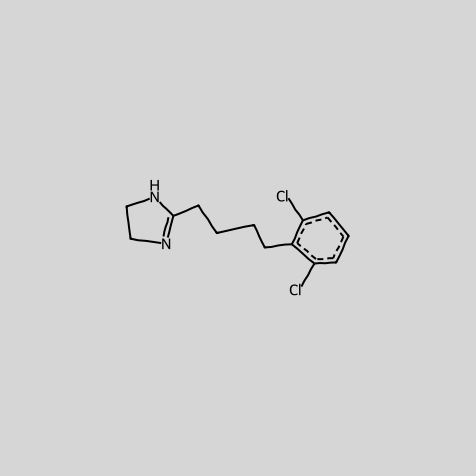 Clc1cccc(Cl)c1CCCCC1=NCCN1